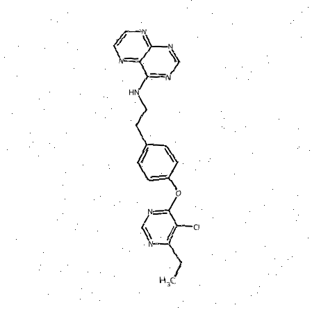 CCc1ncnc(Oc2ccc(CCNc3ncnc4nccnc34)cc2)c1Cl